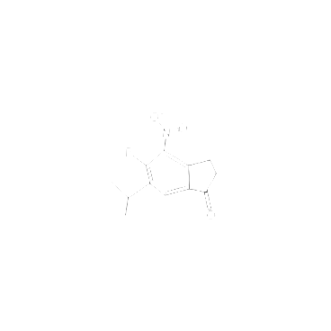 CC(C)c1cc2c(c([N+](=O)[O-])c1F)CCC2=O